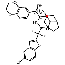 NC1CC2CCC(C1)N2C[C@@H](NC(=O)C(F)(F)c1cc2cc(Cl)ccc2o1)[C@H](O)c1ccc2c(c1)OCCO2